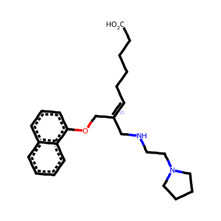 O=C(O)CCCC/C=C(/CNCCN1CCCC1)COc1cccc2ccccc12